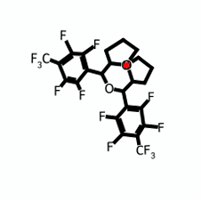 Fc1c(F)c(C(F)(F)F)c(F)c(F)c1C(OC(c1c(F)c(F)c(C(F)(F)F)c(F)c1F)C1CCCO1)C1CCCO1